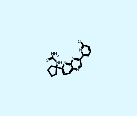 NC(=S)NC1(c2ccc3ncc(-c4cccc(Cl)n4)nc3n2)CCCC1